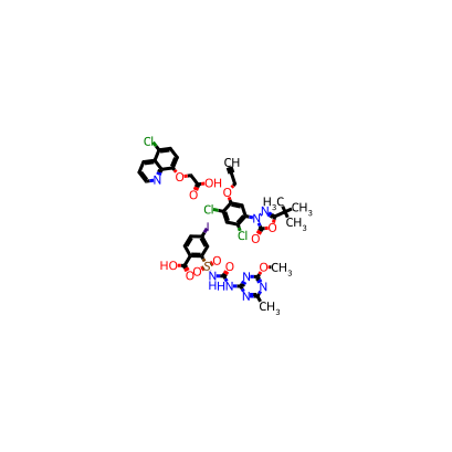 C#CCOc1cc(-n2nc(C(C)(C)C)oc2=O)c(Cl)cc1Cl.COc1nc(C)nc(NC(=O)NS(=O)(=O)c2cc(I)ccc2C(=O)O)n1.O=C(O)COc1ccc(Cl)c2cccnc12